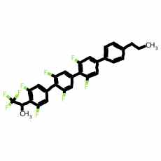 CCCc1ccc(-c2cc(F)c(-c3cc(F)c(-c4cc(F)c(C(C)C(F)(F)F)c(F)c4)c(F)c3)c(F)c2)cc1